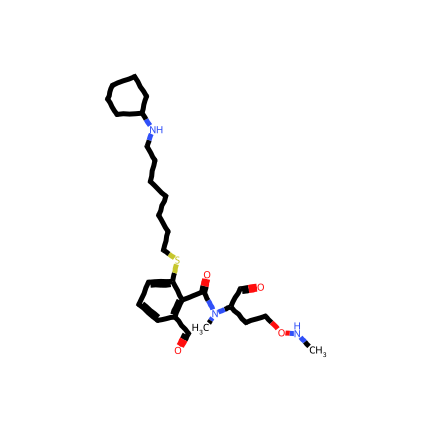 CNOCCC(C=O)N(C)C(=O)c1c(C=O)cccc1SCCCCCCCNC1CCCCC1